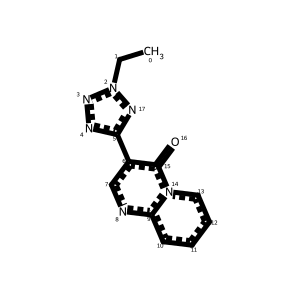 CCn1nnc(-c2cnc3ccccn3c2=O)n1